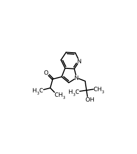 CC(C)C(=O)c1cn(CC(C)(C)O)c2ncccc12